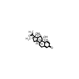 CC(=O)[C@@]1(O)[C@@H](C)C[C@H]2[C@@H]3CCC4=CC(=O)C=C[C@]4(C)[C@@]3(Cl)[C@@H](O)C[C@@]21C